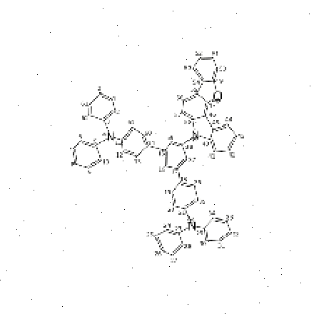 c1ccc(N(c2ccccc2)c2ccc(-c3cc(-c4ccc(N(c5ccccc5)c5ccccc5)cc4)cc(-n4c5ccccc5c5c6oc7ccccc7c6ccc54)c3)cc2)cc1